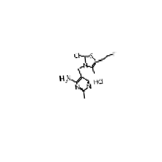 CC1=C(CCF)SC(Cl)N1Cc1cnc(C)nc1N.Cl